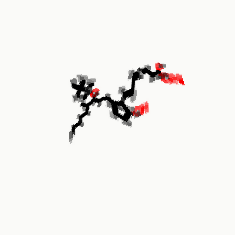 CCCCCC(C)C(CCC1=CC[C@H](O)[C@@H]1CCC=C=CCC(=O)O)O[Si](C)(C)C(C)(C)C